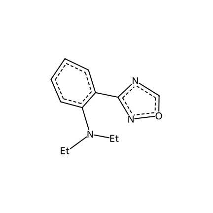 CCN(CC)c1ccccc1-c1ncon1